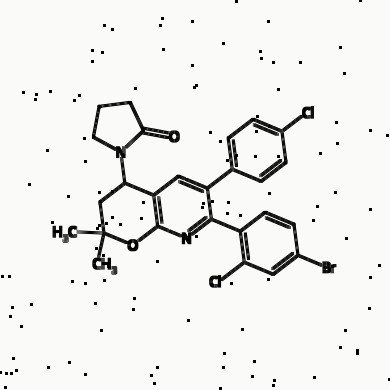 CC1(C)CC(N2CCCC2=O)c2cc(-c3ccc(Cl)cc3)c(-c3ccc(Br)cc3Cl)nc2O1